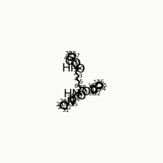 O=C(CCCC/C=C(\COc1ccc2ccccc2c1)C(=O)NC1CCN(C2CCCCC2)C1)NOC1CCCCO1